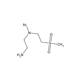 CC(=O)N(CCN)CCS(C)(=O)=O